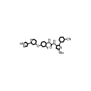 CC(C)(C)n1cc(NC(=O)Nc2ccc(Oc3ccnc(-c4cn[nH]c4)c3)cc2F)c(-c2cccc(C#N)c2)n1